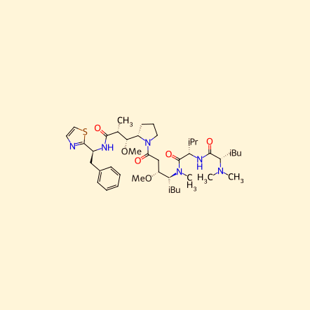 CCC(C)[C@@H](C(=O)N[C@H](C(=O)N(C)[C@@H]([C@@H](C)CC)[C@@H](CC(=O)N1CCC[C@H]1[C@H](OC)[C@@H](C)C(=O)N[C@@H](Cc1ccccc1)c1nccs1)OC)C(C)C)N(C)C